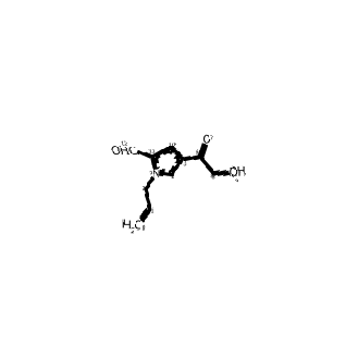 C=CCn1cc(C(=O)CO)cc1C=O